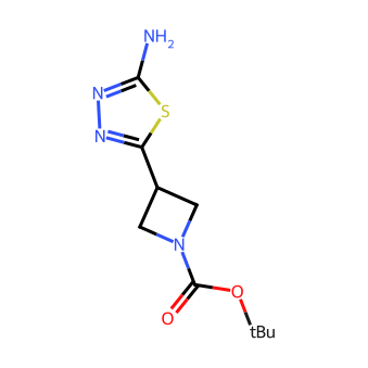 CC(C)(C)OC(=O)N1CC(c2nnc(N)s2)C1